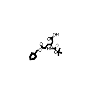 CC(C)(C)OC(=O)NC(CCC(=O)OCc1ccccc1)CC(=O)O